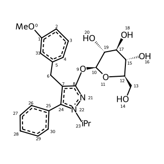 COc1cccc(Cc2c(O[C@@H]3O[C@H](CO)[C@@H](O)[C@H](O)[C@H]3O)nn(C(C)C)c2-c2ccccc2)c1